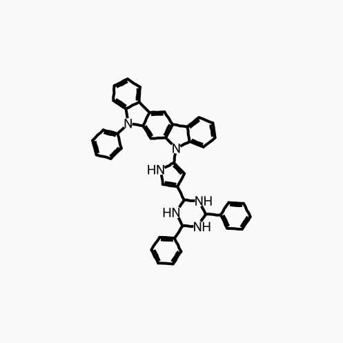 c1ccc(C2NC(c3ccccc3)NC(c3c[nH]c(-n4c5ccccc5c5cc6c7ccccc7n(-c7ccccc7)c6cc54)c3)N2)cc1